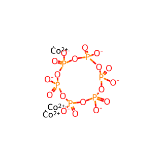 O=P1([O-])OP(=O)([O-])OP(=O)([O-])OP(=O)([O-])OP(=O)([O-])OP(=O)([O-])O1.[Co+2].[Co+2].[Co+2]